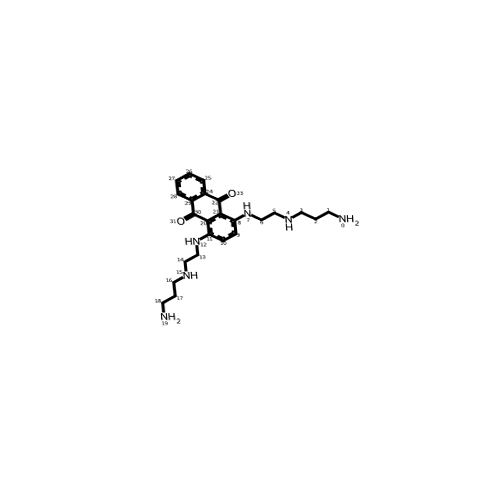 NCCCNCCNc1ccc(NCCNCCCN)c2c1C(=O)c1ccccc1C2=O